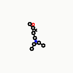 CC1(C)c2cc(-c3ccc(-n4c5ccc(-c6ccccc6)cc5c5cc(-c6ccccc6)ccc54)cc3)ccc2-c2cc3c(cc21)oc1ccccc13